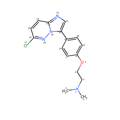 CN(C)CCOc1ccc(-c2cnc3ccc(Cl)nn23)cc1